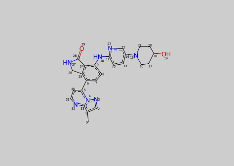 Cc1cnn2c(-c3ccc(Nc4ccc(N5CCC(O)CC5)cn4)c4c3CNC4=O)ccnc12